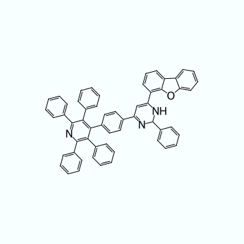 C1=C(c2cccc3c2oc2ccccc23)NC(c2ccccc2)N=C1c1ccc(-c2c(-c3ccccc3)c(-c3ccccc3)nc(-c3ccccc3)c2-c2ccccc2)cc1